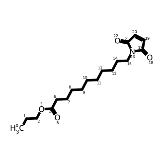 CCCOC(=O)CCCCCCCCCCN1C(=O)C=CC1=O